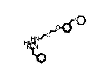 c1ccc(Cc2n[nH]c(NCCOCCOc3cccc(CN4CCCCC4)c3)n2)cc1